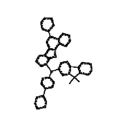 CC1(C)c2ccccc2-c2ccc(N(c3ccc(-c4ccccc4)cc3)c3cccc4c3oc3c5ccccc5c(-c5ccccc5)cc43)cc21